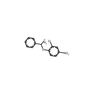 CC(Oc1ccc([N+](=O)[O-])cc1Cl)c1ccccc1